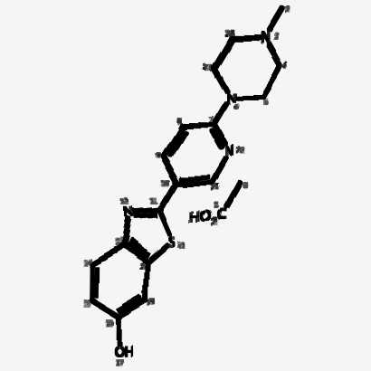 CC(=O)O.CN1CCN(c2ccc(-c3nc4ccc(O)cc4s3)cn2)CC1